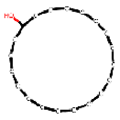 OC1CCCCCCCCCCCCCCCCCCC1